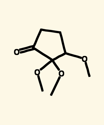 COC1CCC(=O)C1(OC)OC